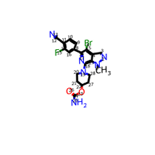 Cn1ncc2c(Br)c(-c3ccc(C#N)c(F)c3)nc(N3CCC(OC(N)=O)CC3)c21